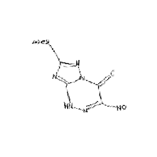 CSc1nc2[nH]nc(N=O)c(=O)n2n1